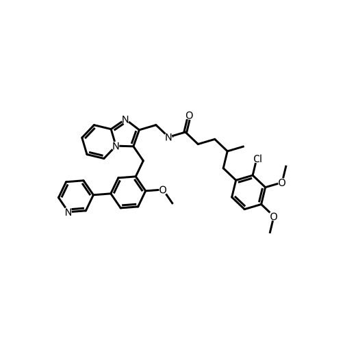 COc1ccc(-c2cccnc2)cc1Cc1c(C[N]C(=O)CCC(C)Cc2ccc(OC)c(OC)c2Cl)nc2ccccn12